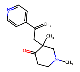 C=C(CC1(C)CN(C)CCC1=O)c1ccncc1